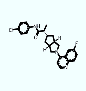 CC(C(=O)Nc1ccc(Cl)cc1)[C@@H]1C[C@@H]2CN(c3ccnc4ccc(F)cc34)C[C@@H]2C1